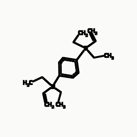 C=C[Si](CC)(CC)c1ccc([Si](C=C)(CC)CC)cc1